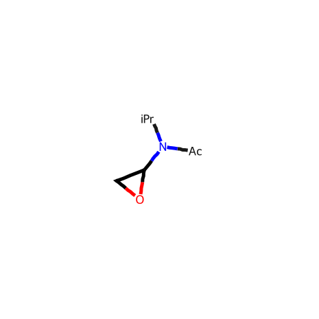 CC(=O)N(C(C)C)C1CO1